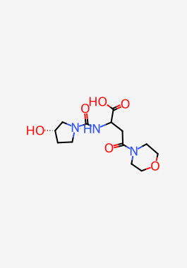 O=C(O)C(CC(=O)N1CCOCC1)NC(=O)N1CC[C@H](O)C1